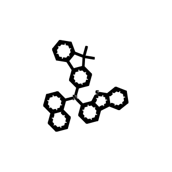 CC1(C)c2ccccc2-c2cc(N(c3cccc4ccccc34)c3cccc4c3sc3ccccc34)ccc21